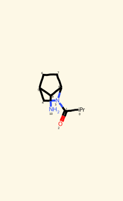 CC(C)C(=O)N1CC2CCC1C2N